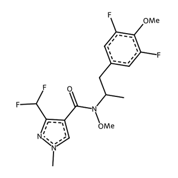 COc1c(F)cc(CC(C)N(OC)C(=O)c2cn(C)nc2C(F)F)cc1F